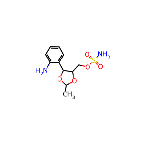 CC1OC(COS(N)(=O)=O)C(c2ccccc2N)O1